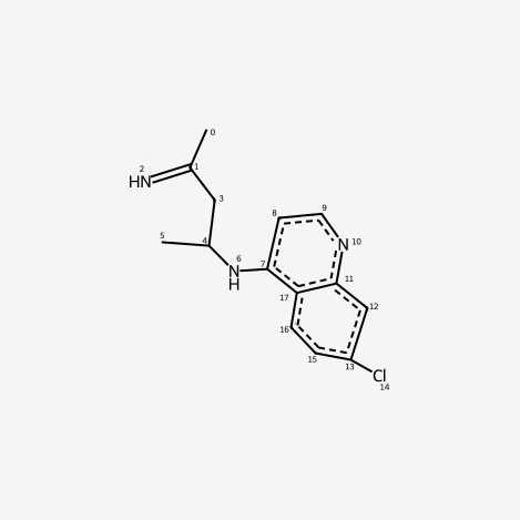 CC(=N)CC(C)Nc1ccnc2cc(Cl)ccc12